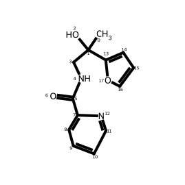 CC(O)(CNC(=O)c1ccccn1)c1ccco1